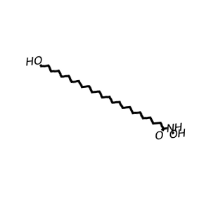 O=C(CCCCCCCCCCCCCCCCCCCCCCCCO)NO